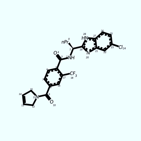 CCC[C@H](NC(=O)c1ccc(C(=O)N2CC=CC2)cc1C(F)(F)F)c1nc2cc(Cl)ccc2[nH]1